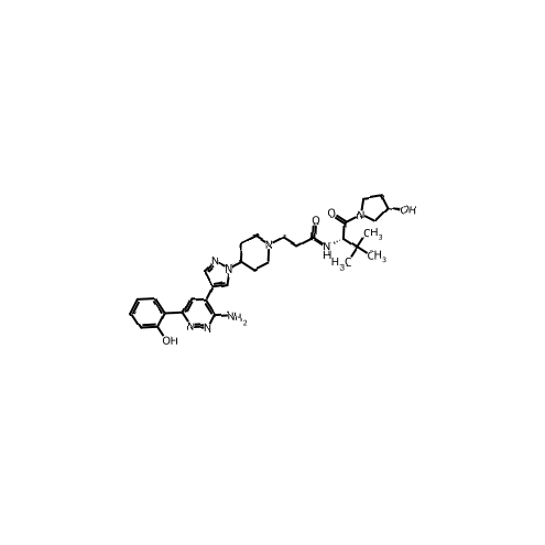 CC(C)(C)[C@H](NC(=O)CCN1CCC(n2cc(-c3cc(-c4ccccc4O)nnc3N)cn2)CC1)C(=O)N1CC[C@@H](O)C1